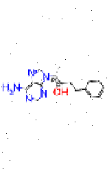 C[C@H]([C@@H](O)CCc1ccccc1)n1cnc2c(N)ncnc21